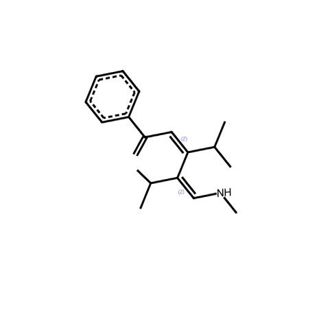 C=C(/C=C(\C(=C/NC)C(C)C)C(C)C)c1ccccc1